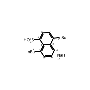 CCCCc1ccc(S(=O)(=O)O)c2c(CCCC)cccc12.[NaH]